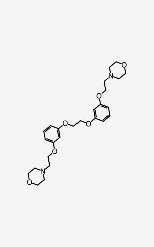 c1cc(OCCOc2cccc(OCCN3CCOCC3)c2)cc(OCCN2CCOCC2)c1